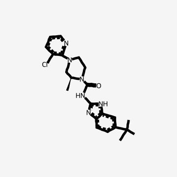 C[C@H]1CN(c2ncccc2Cl)CCN1C(=O)Nc1nc2ccc(C(C)(C)C)cc2[nH]1